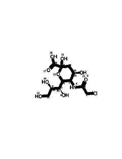 O=C(CCl)NC1C([C@H](O)[C@H](O)CO)OC(O)(C(=O)O)C[C@H]1O